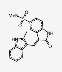 CNS(=O)(=O)c1ccc2c(c1)C(=Cc1c(C)[nH]c3ccccc13)C(=O)N2